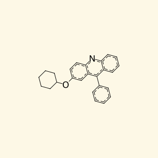 c1ccc(-c2c3ccccc3nc3ccc(OC4CCCCC4)cc23)cc1